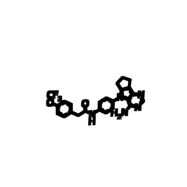 Nc1ncnc2c3c(n(-c4ccc(NC(=O)Cc5ccc(OC(F)(F)F)cc5)cc4)c12)CCC3